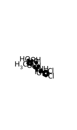 C[C@H]1O[C@@H](n2cc(F)c(NC(=O)c3ccc(Cl)c(Cl)c3)nc2=O)C(O)C1O